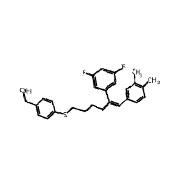 Cc1ccc(/C=C(/CCCCSc2ccc(CO)cc2)c2cc(F)cc(F)c2)cc1C